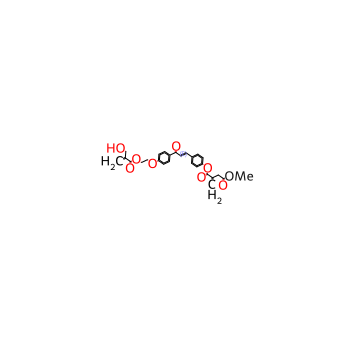 C=C(CO)C(=O)OCCOc1ccc(C(=O)/C=C/c2ccc(OC(=O)C(=C)CC(=O)OC)cc2)cc1